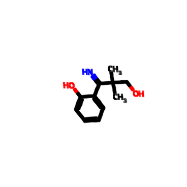 CC(C)(CO)C(=N)c1ccccc1O